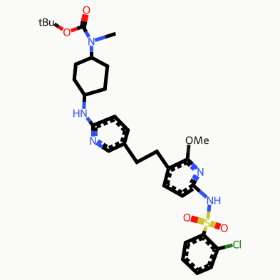 COc1nc(NS(=O)(=O)c2ccccc2Cl)ccc1CCc1ccc(NC2CCC(N(C)C(=O)OC(C)(C)C)CC2)nc1